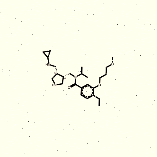 CCc1ccc(C(=O)N(C[C@@H]2CNC[C@@H]2CNC2CC2)C(C)C)cc1OCCCOC